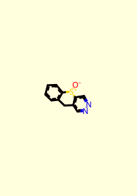 [O-][S+]1c2ccccc2Cc2cnncc21